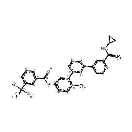 C=C(NC1CC1)c1cc(-c2cncc(-c3cc(NC(=O)c4cccc(C(C)(C)C#N)c4)ccc3C)n2)ccn1